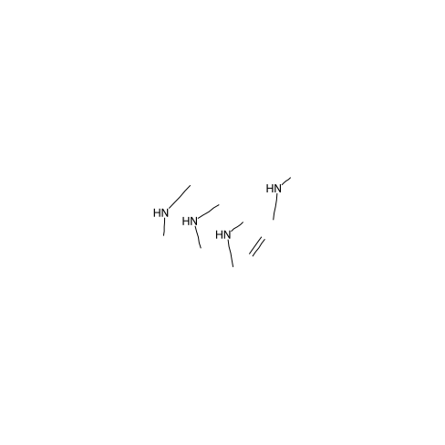 C=C.CNC.CNC.CNC.CNC